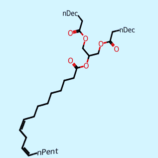 CCCCC/C=C\C/C=C\CCCCCCCC(=O)OC(COC(=O)CCCCCCCCCCC)COC(=O)CCCCCCCCCCC